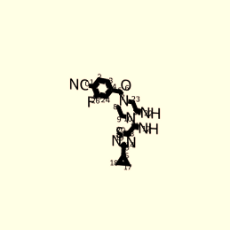 N#Cc1ccc(C(=O)N2CCN(C(=N)c3nc(C4CC4)ns3)C(=N)C2)cc1F